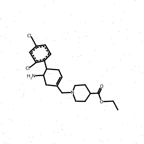 CCOC(=O)C1CCN(CC2=CCC(c3ccc(Cl)cc3Cl)C(N)C2)CC1